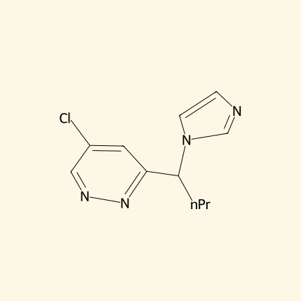 CCCC(c1cc(Cl)cnn1)n1ccnc1